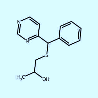 CC(O)CSC(c1ccccc1)c1ccncn1